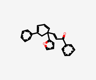 O=C(C=CC1(c2ccco2)C=CC=C(c2ccccc2)C1)c1ccccc1